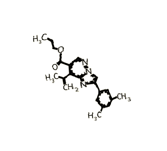 C=C(C)c1c(C(=O)OCCC)cnn2cc(-c3cc(C)cc(C)c3)nc12